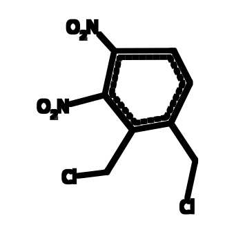 O=[N+]([O-])c1ccc(CCl)c(CCl)c1[N+](=O)[O-]